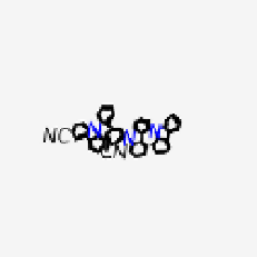 N#Cc1cc(-c2ccccc2-n2c3ccccc3c3cc(C#N)ccc32)cc(-n2c3ccccc3c3c(-n4c5ccccc5c5ccccc54)cccc32)c1